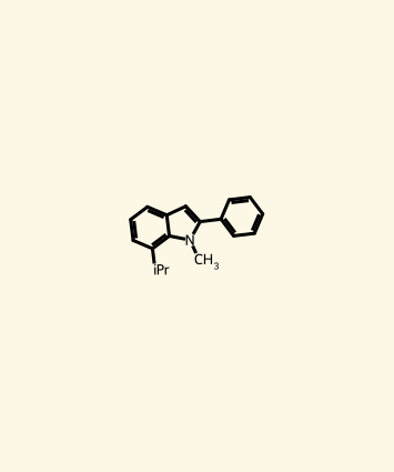 CC(C)c1cccc2cc(-c3ccccc3)n(C)c12